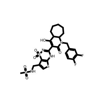 CS(=O)(=O)NCc1csc2c1S(=O)(=O)N=C(C1=C(O)C3CCCCCC3N(Cc3ccc(F)c(F)c3)C1=O)N2